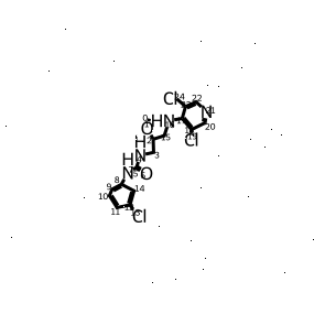 COC(CNC(=O)Nc1cccc(Cl)c1)CNc1c(Cl)cncc1Cl